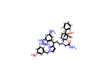 NC(=O)CN(CCC(c1ccn(Cc2cccc(O)c2)n1)c1cc(N)nc2c1NNN2)C12CCC(c3ccccc3)(CC1)[C@H](O)C2